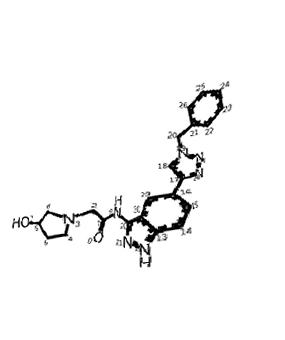 O=C(CN1CCC(O)C1)Nc1n[nH]c2ccc(-c3cn(Cc4ccccc4)nn3)cc12